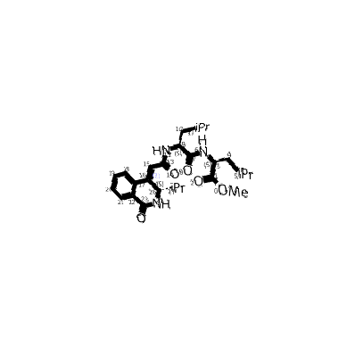 COC(=O)[C@H](CC(C)C)NC(=O)[C@H](CC(C)C)NC(=O)/C=C1/c2ccccc2C(=O)N[C@H]1C(C)C